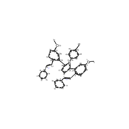 COc1ccc(/C=C/c2ccccc2)c(-c2ccc(-c3cc(OC)ccc3/C=C/c3ccccc3)n2-c2ccc(C)cc2)c1